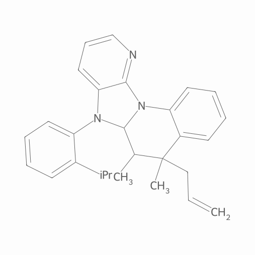 C=CCC1(C)c2ccccc2N2c3ncccc3N(c3ccccc3C(C)C)C2C1C